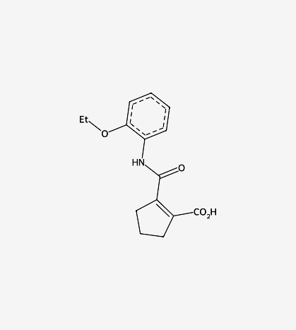 CCOc1ccccc1NC(=O)C1=C(C(=O)O)CCC1